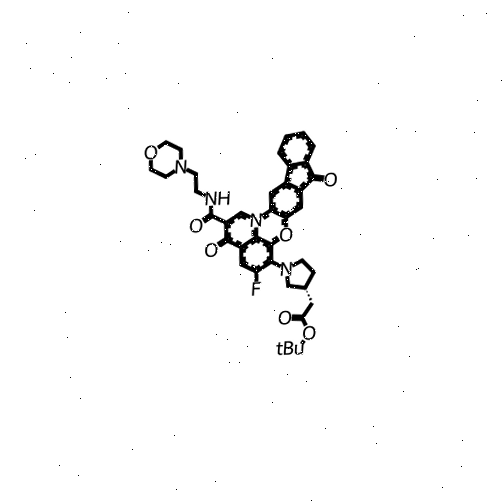 CC(C)(C)OC(=O)C[C@H]1CCN(c2c(F)cc3c(=O)c(C(=O)NCCN4CCOCC4)cn4c5cc6c(cc5oc2c34)c(=O)c2ccccc26)C1